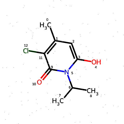 Cc1cc(O)n(C(C)C)c(=O)c1Cl